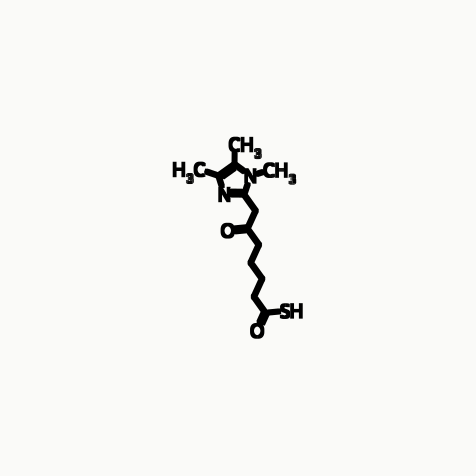 Cc1nc(CC(=O)CCCCC(=O)S)n(C)c1C